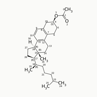 CC(=O)O[C@H]1CCc2c(ccc3c2CC[C@]2(C)[C@@H]([C@H](C)CCCC(C)C)CC[C@@H]32)C1